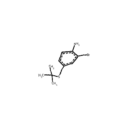 CC(C)(C)Sc1ccc(N)c(Br)c1